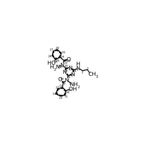 CCCNc1nc(N(N)C(=O)c2ccccc2O)nc(N(N)C(=O)c2ccccc2O)n1